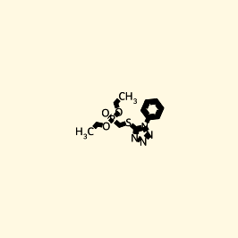 CCOP(=O)(CSc1nnnn1-c1ccccc1)OCC